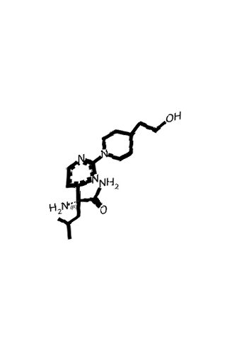 CC(C)C[C@](N)(C(N)=O)c1ccnc(N2CCC(CCO)CC2)n1